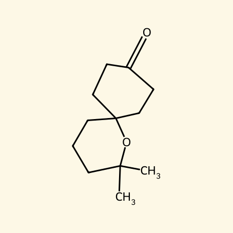 CC1(C)CCCC2(CCC(=O)CC2)O1